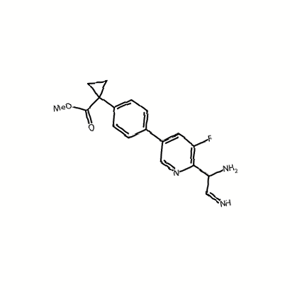 COC(=O)C1(c2ccc(-c3cnc(C(N)C=N)c(F)c3)cc2)CC1